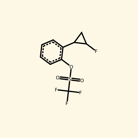 O=S(=O)(Oc1ccccc1C1CC1F)C(F)(F)F